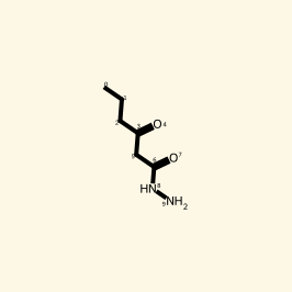 CCCC(=O)CC(=O)NN